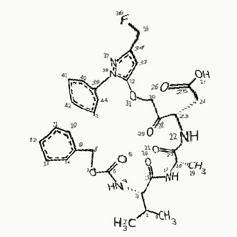 CC(C)[C@H](NC(=O)OCc1ccccc1)C(=O)N[C@@H](C)C(=O)N[C@@H](CC(=O)O)C(=O)COc1cc(CF)nn1-c1ccccc1